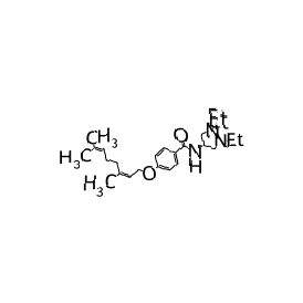 CCN1CC(NC(=O)c2ccc(OCC=C(C)CCC=C(C)C)cc2)CN1CC